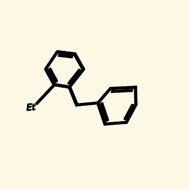 [CH2]Cc1ccccc1Cc1ccccc1